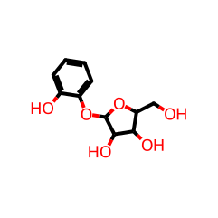 OCC1OC(Oc2ccccc2O)C(O)C1O